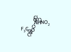 O=C(NCc1ccc(Oc2cc(C(F)(F)F)cc(Cl)n2)cc1)c1cc([N+](=O)[O-])ccc1Cl